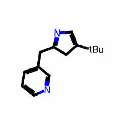 CC(C)(C)C1=CN=C(Cc2cccnc2)C1